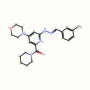 Cc1cccc(/C=N/Nc2cc(N3CCOCC3)cc(C(=O)N3CCCCC3)n2)c1